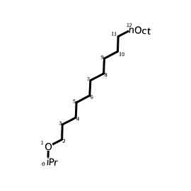 [CH2]C([CH2])OCCCCCCCCCCCCCCCCCC